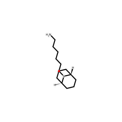 NCCCCCCN1[C@H]2CCC[C@H]1CCC2